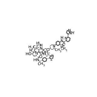 COc1cc(N2CC[C@H](OCC(O)N[C@H](C(=O)N3C[C@@H](O)C[C@H]3C(=O)N[C@@H](C)c3ccc(-c4scnc4C)cc3)C(C)(C)C)C[C@@H]2C)ccc1NC(=O)c1cccc(-c2ccn[nH]2)n1